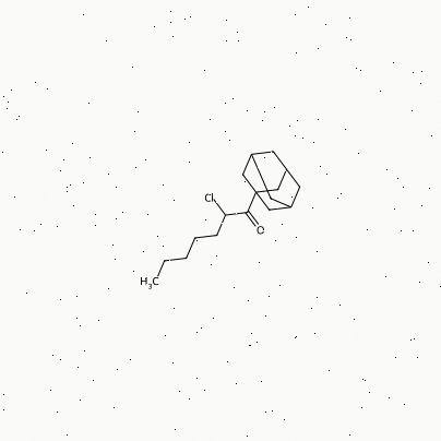 CCCCCC(Cl)C(=O)C12CC3CC(CC(C3)C1)C2